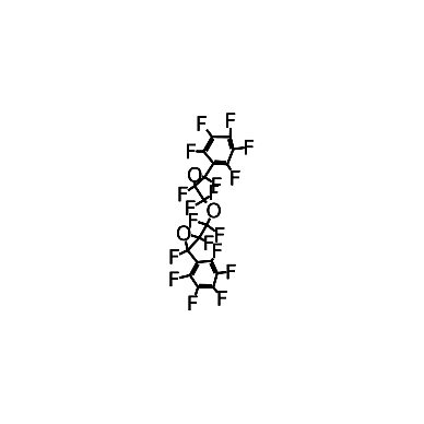 Fc1c(F)c(F)c(C2(F)OC2(F)C(F)(F)OC(F)(F)C2(F)OC2(F)c2c(F)c(F)c(F)c(F)c2F)c(F)c1F